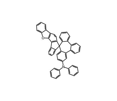 c1ccc(N(c2ccccc2)c2ccc3c(c2)-c2ccccc2-c2ccccc2C32c3ccccc3-c3c2ccc2c3oc3ccccc32)cc1